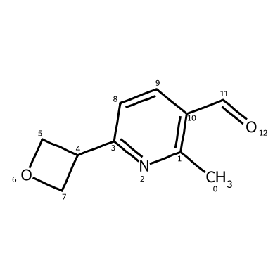 Cc1nc(C2COC2)ccc1C=O